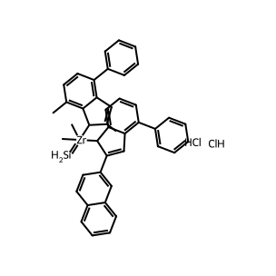 CC1=Cc2c(-c3ccccc3)ccc(C)c2[CH]1[Zr]([CH3])([CH3])(=[SiH2])[CH]1C(c2ccc3ccccc3c2)=Cc2c(-c3ccccc3)cccc21.Cl.Cl